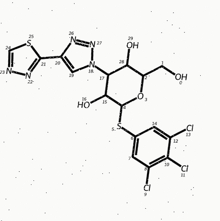 OCC1OC(Sc2cc(Cl)c(Cl)c(Cl)c2)C(O)C(n2cc(-c3nncs3)nn2)C1O